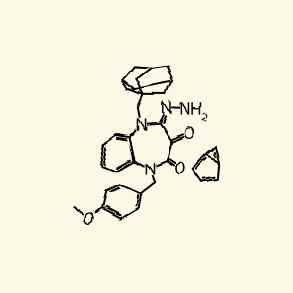 COc1ccc(Cn2c(=O)c(=O)c(=NN)n(CC34CC5CC(CC(C5)C3)C4)c3ccccc32)cc1.c1cc2cc-2c1